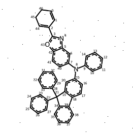 C1=CC(c2nc3cc(N(c4ccccc4)c4ccc5c(c4)C(c4ccccc4)(c4ccccc4)c4ccccc4-5)ccc3o2)=CCC1